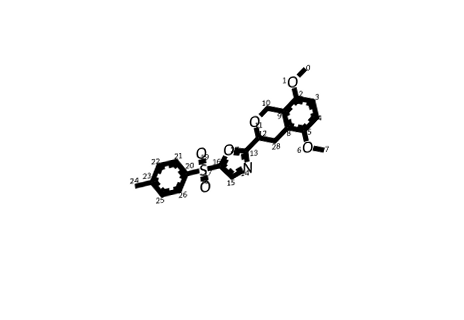 COc1ccc(OC)c2c1COC(c1ncc(S(=O)(=O)c3ccc(C)cc3)o1)C2